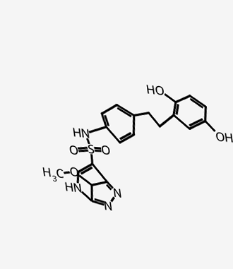 COC1C2=NN=C1C(S(=O)(=O)Nc1ccc(CCc3cc(O)ccc3O)cc1)=CN2